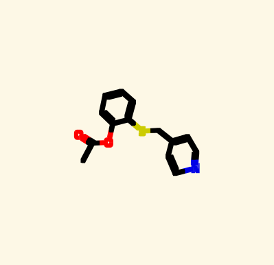 CC(=O)Oc1ccccc1SCc1ccncc1